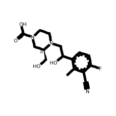 Cc1c(C(O)CN2CCN(C(=O)O)C[C@@H]2CO)ccc(F)c1C#N